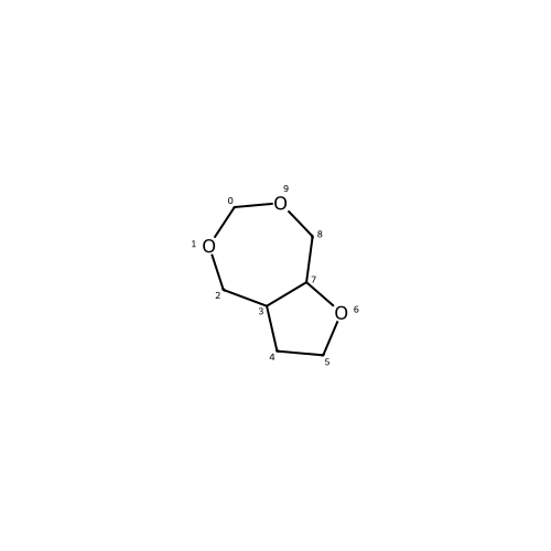 C1OCC2CCOC2CO1